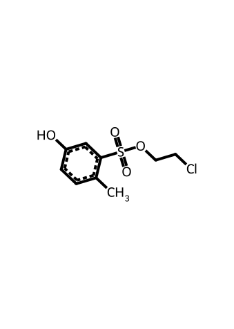 Cc1ccc(O)cc1S(=O)(=O)OCCCl